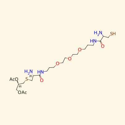 CC(=O)OC[C@H](CSC[C@H](N)C(=O)NCCCOCCOCCOCCCNC(=O)C(N)CS)OC(C)=O